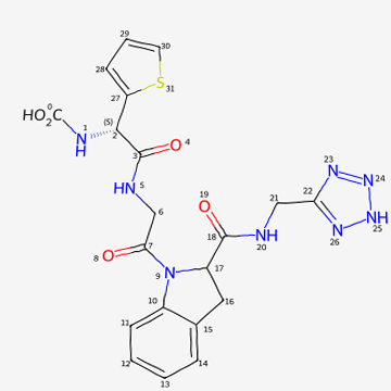 O=C(O)N[C@@H](C(=O)NCC(=O)N1c2ccccc2CC1C(=O)NCc1nn[nH]n1)c1cccs1